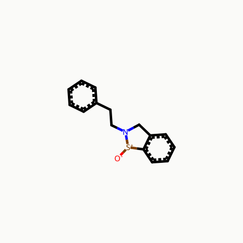 [O-][S+]1c2ccccc2CN1CCc1ccccc1